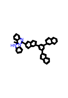 CC12Nc3ccccc3N1C(c1ccc3cc(-c4cc(-c5ccc6ccccc6c5)cc(-c5ccc6ccccc6c5)c4)ccc3c1)=Nc1ccccc12